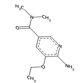 CCOc1cc(C(=O)N(C)C)cnc1N